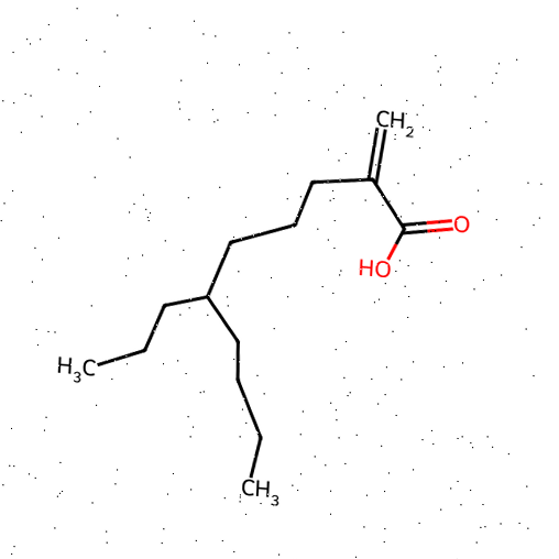 C=C(CCCC(CCC)CCCC)C(=O)O